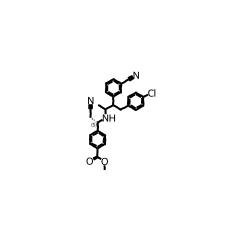 COC(=O)c1ccc([C@H](CC#N)NC(C)C(Cc2ccc(Cl)cc2)c2cccc(C#N)c2)cc1